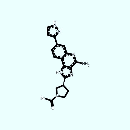 CC(C)C(=O)N1CC[C@H](c2nc3c(N)nc4cc(-c5cc[nH]n5)ccc4c3[nH]2)C1